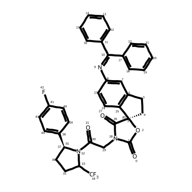 O=C1O[C@@]2(CCc3cc(N=C(c4ccccc4)c4ccccc4)ccc32)C(=O)N1CC(=O)N1C(C(F)(F)F)CC[C@H]1c1ccc(F)cc1